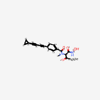 CNC(=O)C(C(=O)NO)N(C)C(=O)c1ccc(C#CC#CC2CC2)cc1